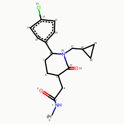 CC(C)NC(=O)CC1CCC(c2ccc(Cl)cc2)N(CC2CC2)C1=O